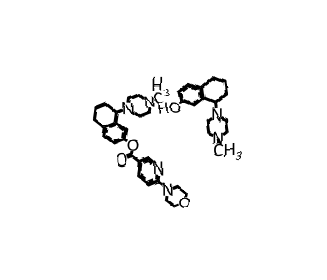 CN1CCN(C2CCCc3ccc(O)cc32)CC1.CN1CCN(C2CCCc3ccc(OC(=O)c4ccc(N5CCOCC5)nc4)cc32)CC1